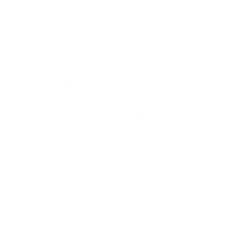 Cc1c(CC(C)C)cc(C(=O)O)c(C(=O)O)c1CC(C)C